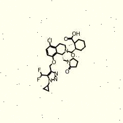 C[C@]1(C(=O)O)CCCC[C@H]1C(=O)N1CCc2c(Cl)ccc(OCc3nnn(C4CC4)c3C(F)F)c2[C@H]1CN1CCCC1=O